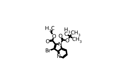 CCOC(=O)c1c(Br)c2ncccc2n1C(=O)OC(C)(C)C